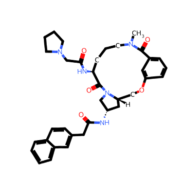 CN1CCC[C@H](NC(=O)CN2CCCC2)C(=O)N2C[C@@H](NC(=O)Cc3ccc4ccccc4c3)C[C@H]2COc2cccc(c2)C1=O